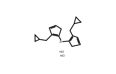 C1=CC(CC2CC2)=[C]([Zr][C]2=C(CC3CC3)C=CC2)C1.Cl.Cl